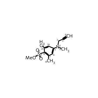 C#CCN(C)c1cc(C)c(S(=O)(=O)OC)c(C)c1